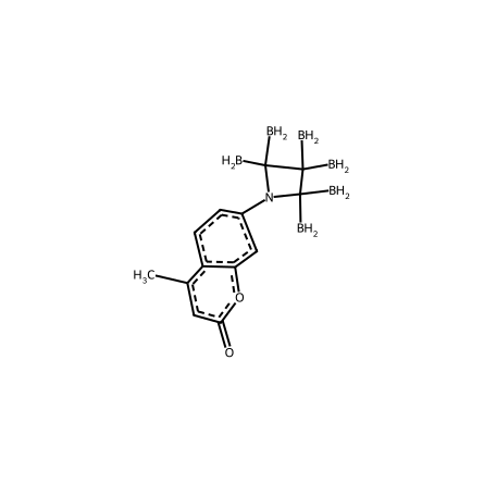 BC1(B)N(c2ccc3c(C)cc(=O)oc3c2)C(B)(B)C1(B)B